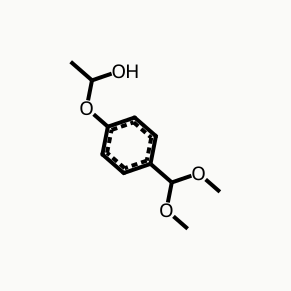 COC(OC)c1ccc(OC(C)O)cc1